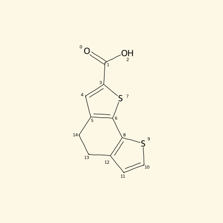 O=C(O)c1cc2c(s1)-c1sccc1CC2